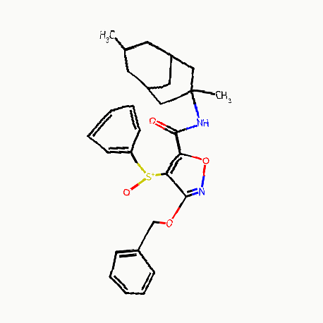 CC1CC2CC(C1)CC(C)(NC(=O)c1onc(OCc3ccccc3)c1[S+]([O-])c1ccccc1)C2